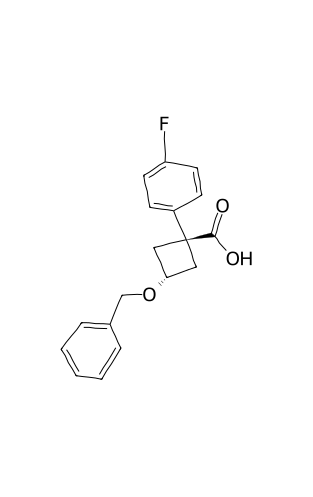 O=C(O)[C@]1(c2ccc(F)cc2)C[C@@H](OCc2ccccc2)C1